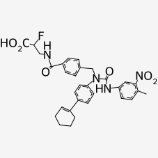 Cc1ccc(NC(=O)N(Cc2ccc(C(=O)NCC(F)C(=O)O)cc2)c2ccc(C3=CCCCC3)cc2)cc1[N+](=O)[O-]